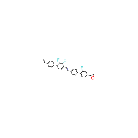 C=CC1=CCC(C2CC=C(/C=C/c3ccc(C4=CCC(C5CO5)C=C4F)cc3)C(F)=C2F)C=C1